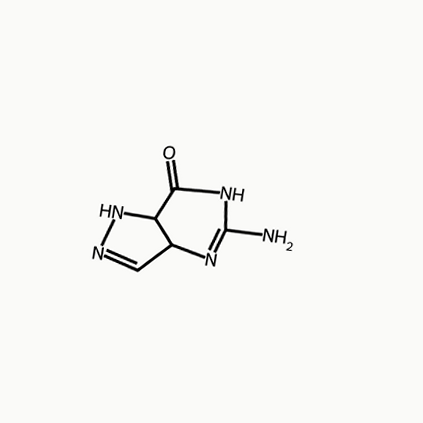 NC1=NC2C=NNC2C(=O)N1